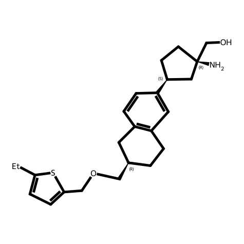 CCc1ccc(COC[C@@H]2CCc3cc([C@H]4CC[C@](N)(CO)C4)ccc3C2)s1